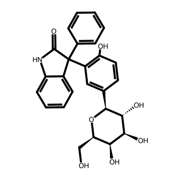 O=C1Nc2ccccc2C1(c1ccccc1)c1cc([C@@H]2O[C@H](CO)[C@H](O)[C@H](O)[C@H]2O)ccc1O